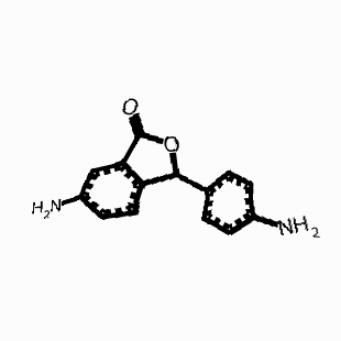 Nc1ccc(C2OC(=O)c3cc(N)ccc32)cc1